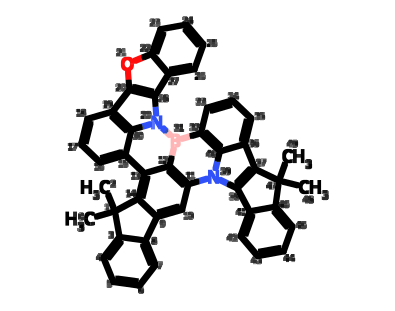 CC1(C)c2ccccc2-c2cc3c4c(c21)-c1cccc2c5oc6ccccc6c5n(c12)B4c1cccc2c4c(n-3c12)-c1ccccc1C4(C)C